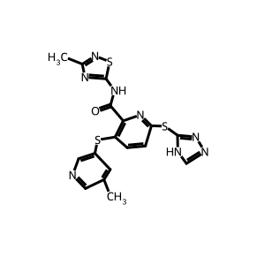 Cc1cncc(Sc2ccc(Sc3nnc[nH]3)nc2C(=O)Nc2nc(C)ns2)c1